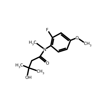 COc1ccc(N(C)C(=O)CC(C)(C)O)c(F)c1